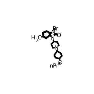 CCCOC1CCC(N2CCC(n3c(=O)n(Br)c4ccc(C)cc43)CC2)CC1